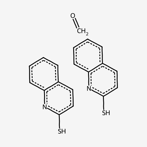 C=O.Sc1ccc2ccccc2n1.Sc1ccc2ccccc2n1